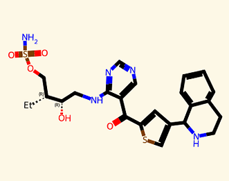 CC[C@H](COS(N)(=O)=O)[C@@H](O)CNc1ncncc1C(=O)c1cc(C2NCCc3ccccc32)cs1